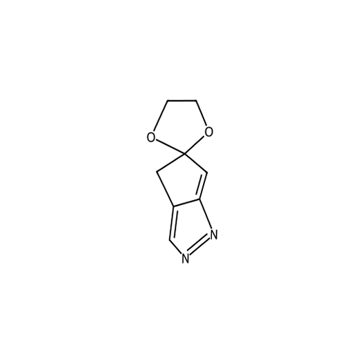 C1=C2CC3(C=C2N=N1)OCCO3